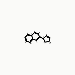 C1=C[C](c2ccc3ccccc3c2)CC1